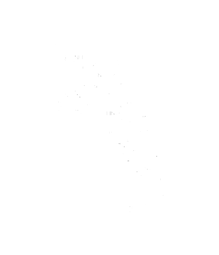 CC(CCC(=O)O)[C@H]1CCC2C3CC[C@@H]4CC(NC(=O)CC[C@@H](C(=O)O)N(CCNCC(=O)O)CCN(CC(=O)O)CC(=O)O)CC[C@]4(C)C3CC[C@@]21C